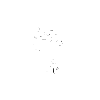 O=C(OCCCN1C(=O)c2ccccc2C1=O)c1ccc2c(c1)C(=O)C(c1ccc3cccc(N4C(=O)C5CCCCC5C4=O)c3n1)C2=O